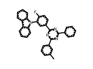 Cc1cccc(-c2nc(-c3ccccc3)nc(-c3ccc(F)c(-n4c5ccccc5c5ccccc54)c3)n2)c1